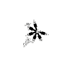 N#[C][Fe-4]([C]#N)([C]#N)([C]#N)([C]#N)[C]#N.[Co+2].[Cs+].[K+].[Rb+]